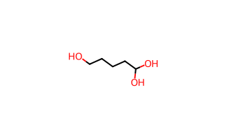 OCCCCC(O)O